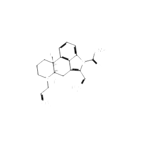 C=CCN1CCC[C@@H]2c3cccc4c3c(c(C=C)n4C(=O)OC)C[C@H]21